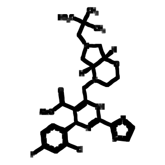 COC(=O)C1=C(CN2CCO[C@H]3CN(CC(C)(C)C(=O)O)C[C@H]32)NC(c2nccs2)=N[C@H]1c1ccc(F)cc1Cl